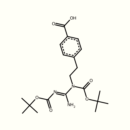 CC(C)(C)OC(=O)N=C(N)N(CCc1ccc(C(=O)O)cc1)C(=O)OC(C)(C)C